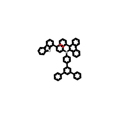 c1ccc(-c2cc(-c3ccccc3)cc(-c3ccc(N(c4ccc(-c5cccc6c5oc5ccccc56)cc4)c4c(-c5ccccc5)c5ccccc5c5ccccc45)cc3)c2)cc1